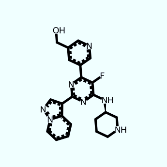 OCc1cncc(-c2nc(-c3cnn4ccccc34)nc(N[C@@H]3CCCNC3)c2F)c1